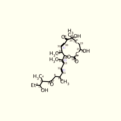 CCC(O)C(C)C1OC1CC(C)/C=C/C=C(\C)C1OC(=O)CC(O)CCC(C)(O)C(=O)/C=C/C1C